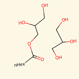 CCCCCCC(=O)OCC(O)CO.OCC(O)CO